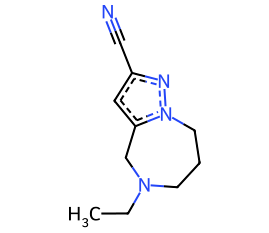 CCN1CCCn2nc(C#N)cc2C1